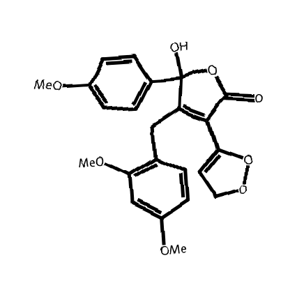 COc1ccc(C2(O)OC(=O)C(C3=CCOO3)=C2Cc2ccc(OC)cc2OC)cc1